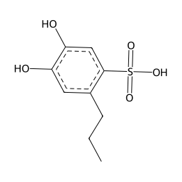 CCCc1cc(O)c(O)cc1S(=O)(=O)O